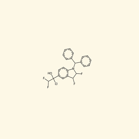 OC(Cl)(c1ccc2c(c1)C(F)C(F)N2C(c1ccccc1)c1ccccc1)C(F)F